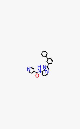 O=C(Nc1cccn2cc(-c3cccc(-c4ccccc4)c3)nc12)c1ccncc1